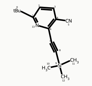 CC(C)(C)c1ccc(C#N)c(C#C[Si](C)(C)C)n1